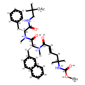 CC(=O)OC(C)(C)CNC(=O)[C@@H](Cc1ccccc1)N(C)C(=O)[C@@H](Cc1ccc2ccccc2c1)N(C)C(=O)/C=C/CC(C)(C)NC(=O)OC(C)(C)C